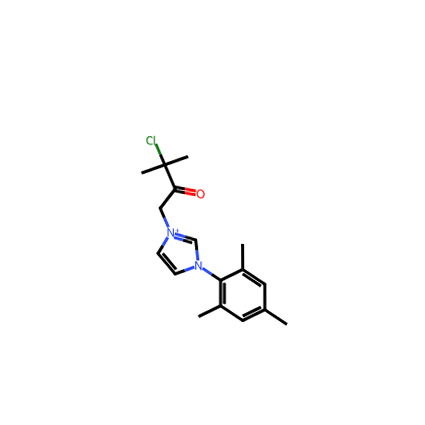 Cc1cc(C)c(-n2cc[n+](CC(=O)C(C)(C)Cl)c2)c(C)c1